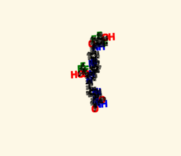 O=C(O)C(F)(F)F.O=C1CCN(c2cnn3cc(CCCN4CCN(c5ccc6cn(C7CCC(CNC(=O)c8cc(F)c(O)c(F)c8F)CC7)nc6c5)CC4)ccc23)C(=O)N1